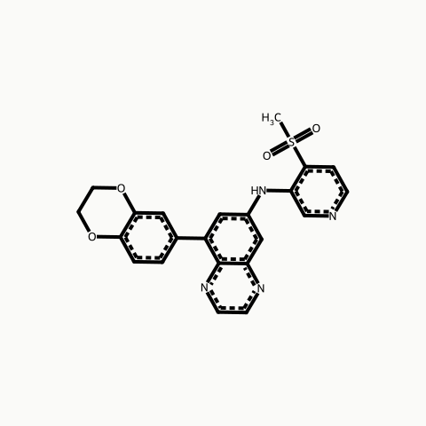 CS(=O)(=O)c1ccncc1Nc1cc(-c2ccc3c(c2)OCCO3)c2nccnc2c1